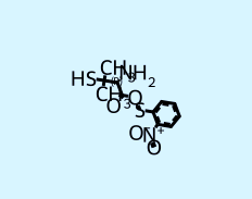 CC(C)(S)[C@H](N)C(=O)OSc1ccccc1[N+](=O)[O-]